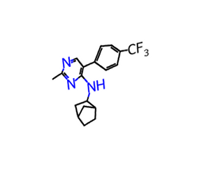 Cc1ncc(-c2ccc(C(F)(F)F)cc2)c(NC2CC3CCC2C3)n1